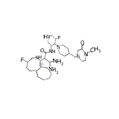 CN1CCN(CC2CCN(C3C(F)CNCC3NC(=O)C(/C3=C4\CCCCCC4CCC(F)CN3)C(N)N)CC2)CC1=O